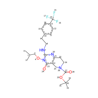 CC(C)COn1c(NCCc2ccc(C(F)(F)F)cc2)nc2c(c1=O)CN(C(=O)OC(C)(C)C)CC2